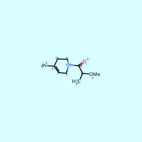 COC(C)C(=O)N1CC=C(C(C)C)CC1